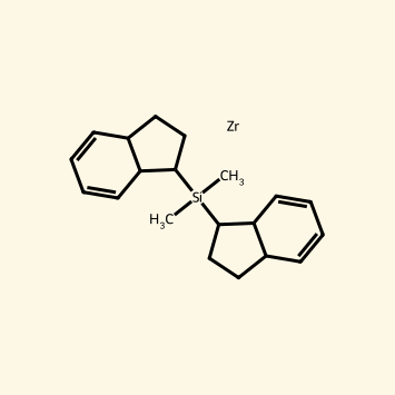 C[Si](C)(C1CCC2C=CC=CC21)C1CCC2C=CC=CC21.[Zr]